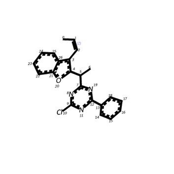 C/C=C\c1c(C(C)c2nc(Cl)nc(-c3ccccc3)n2)oc2ccccc12